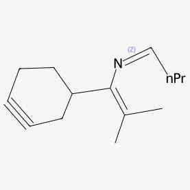 CCC/C=N\C(=C(C)C)C1CC#CCC1